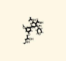 CNCC(O)COc1cc(OC)cc(-c2cc(N(C)C3CCOCC3)c(C(C)=N)c(NC(C)C)n2)c1